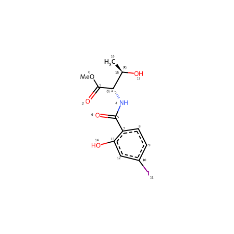 COC(=O)[C@@H](NC(=O)c1ccc(I)cc1O)[C@@H](C)O